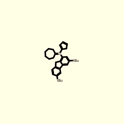 CC(C)(C)c1ccc2c(c1)-c1cc(C(C)(C)C)c[c]([Zr]([C]3=CC=CC3)=[C]3CCCCCC3)c1C2